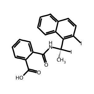 C[C@](I)(NC(=O)c1ccccc1C(=O)O)c1c(I)ccc2ccccc12